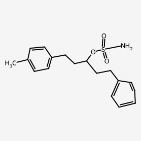 Cc1ccc(CCC(CCc2ccccc2)OS(N)(=O)=O)cc1